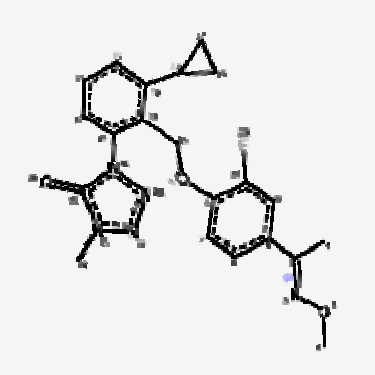 CO/N=C(\C)c1ccc(OCc2c(C3CC3)cccc2-n2nnn(C)c2=O)c(F)c1